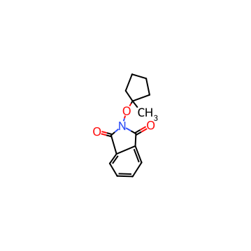 CC1(ON2C(=O)c3ccccc3C2=O)CCCC1